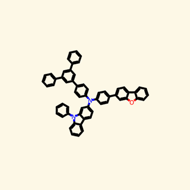 c1ccc(-c2cc(-c3ccccc3)cc(-c3ccc(N(c4ccc(-c5ccc6c(c5)oc5ccccc56)cc4)c4ccc5c6ccccc6n(-c6ccccc6)c5c4)cc3)c2)cc1